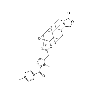 Cc1ccc(C(=O)c2ccc(CC(=O)OC3C4(C(C)C)OC4C4OC45C4(C)CCC6=C(COC6=O)C4CC4OC435)n2C)cc1